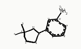 CC1(C)CCC(c2cccc(N)c2)C1